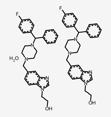 O.OCCn1cnc2cc(CN3CCN(C(c4ccccc4)c4ccc(F)cc4)CC3)ccc21.OCCn1cnc2cc(CN3CCN(C(c4ccccc4)c4ccc(F)cc4)CC3)ccc21